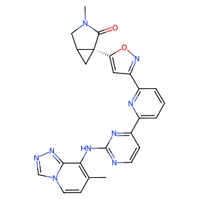 Cc1ccn2cnnc2c1Nc1nccc(-c2cccc(-c3cc([C@]45CC4CN(C)C5=O)on3)n2)n1